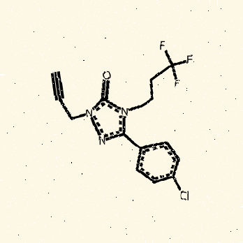 C#CCn1nc(-c2ccc(Cl)cc2)n(CCC(F)(F)F)c1=O